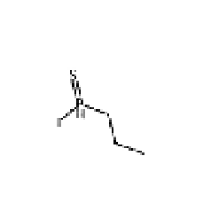 CCC[PH](=S)I